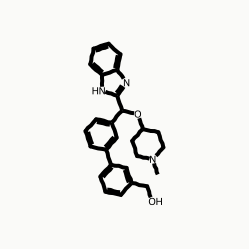 CN1CCC(OC(c2cccc(-c3cccc(CO)c3)c2)c2nc3ccccc3[nH]2)CC1